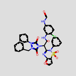 O=CNc1ccc(Cl)c(NC(=O)C(C2=Nc3occc3S(=O)(=O)N2c2ccccc2)n2c(=O)n(Cc3ccccc3)n(-c3ccccc3)c2=O)c1